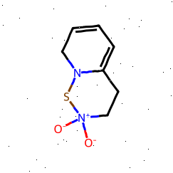 [O-][N+]1([O-])CCC2=CC=CCN2S1